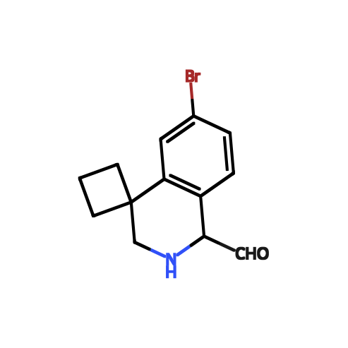 O=CC1NCC2(CCC2)c2cc(Br)ccc21